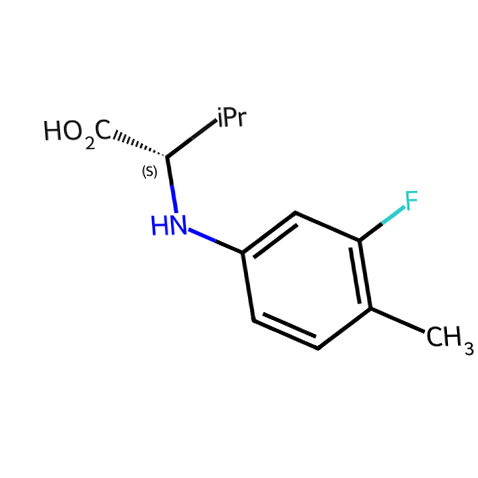 Cc1ccc(N[C@H](C(=O)O)C(C)C)cc1F